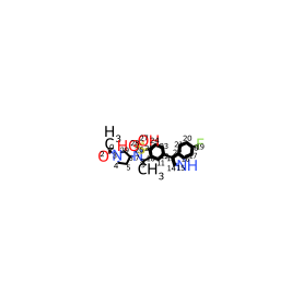 CC(=O)N1CCC(N2C(C)c3cc(-c4c[nH]c5cc(F)ccc45)ccc3S2(O)O)C1